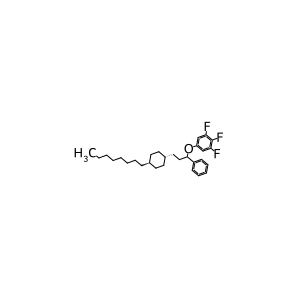 CCCCCCCC[C@H]1CC[C@H](CCC(Oc2cc(F)c(F)c(F)c2)c2ccccc2)CC1